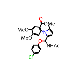 COC(=O)c1cc(OC)c(OC)cc1-n1c(C)ccc1C(NC(C)=O)Oc1ccc(Cl)cc1